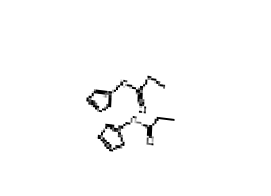 CCC(=O)OC1=CC=CC1.CCC(=O)OC1=CC=CC1